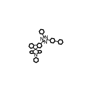 c1ccc(-c2ccc(-c3nc(-c4ccccc4)nc(-c4ccc5c(c4)-c4ccccc4C54c5ccccc5N(c5ccccc5)c5ccccc54)n3)cc2)cc1